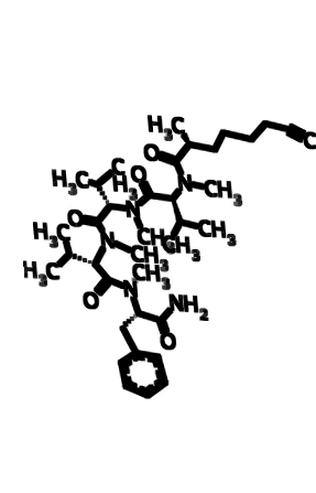 C#CCCCC[C@H](C)C(=O)N(C)[C@H](C(=O)N(C)[C@H](C(=O)N(C)[C@H](C(=O)N(C)[C@@H](Cc1ccccc1)C(N)=O)C(C)C)C(C)C)C(C)C